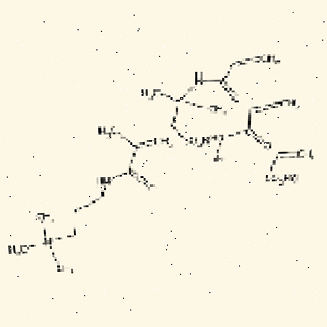 C=C(C)C(=O)NCCC[N+](C)(C)C.C=CC(=O)NC(C)(C)CS(=O)(=O)O.C=CC(=O)NC(C)C.C=CC(=O)O.[Cl-]